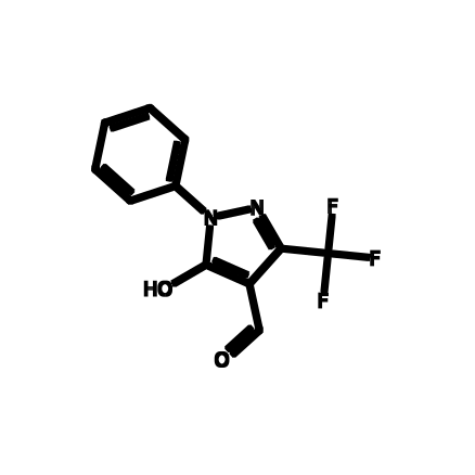 O=Cc1c(C(F)(F)F)nn(-c2ccccc2)c1O